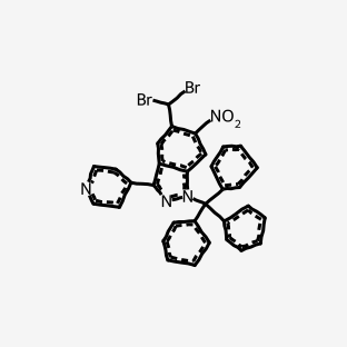 O=[N+]([O-])c1cc2c(cc1C(Br)Br)c(-c1ccncc1)nn2C(c1ccccc1)(c1ccccc1)c1ccccc1